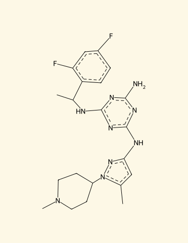 Cc1cc(Nc2nc(N)nc(NC(C)c3ccc(F)cc3F)n2)nn1C1CCN(C)CC1